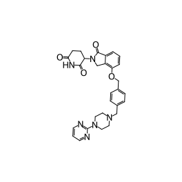 O=C1CCC(N2Cc3c(OCc4ccc(CN5CCN(c6ncccn6)CC5)cc4)cccc3C2=O)C(=O)N1